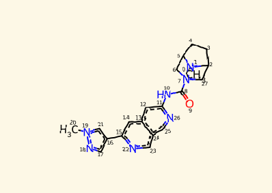 CN1C2CCC1CN(C(=O)Nc1cc3cc(-c4cnn(C)c4)ncc3cn1)C2